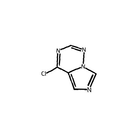 Clc1ncnn2cncc12